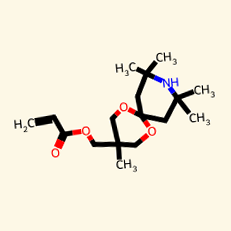 C=CC(=O)OCC1(C)COC2(CC(C)(C)NC(C)(C)C2)OC1